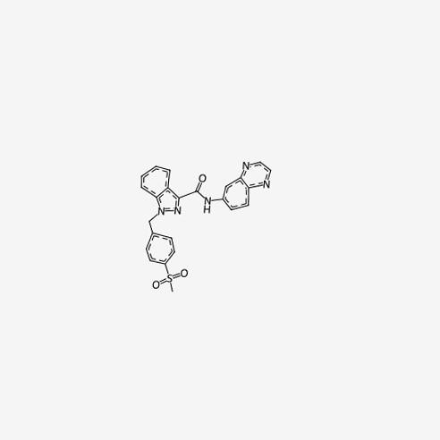 CS(=O)(=O)c1ccc(Cn2nc(C(=O)Nc3ccc4nccnc4c3)c3ccccc32)cc1